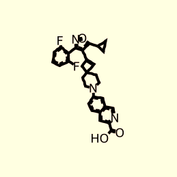 O=C(O)c1cc2ccc(N3CCC4(C=C(c5c(-c6c(F)cccc6F)noc5C5CC5)C4)CC3)cc2cn1